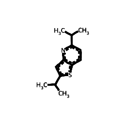 CC(C)c1ccc2sc(C(C)C)cc2n1